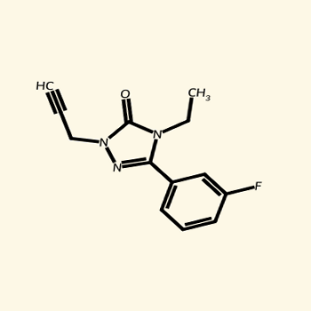 C#CCn1nc(-c2cccc(F)c2)n(CC)c1=O